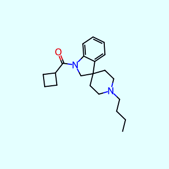 CCCCN1CCC2(CC1)CN(C(=O)C1CCC1)c1ccccc12